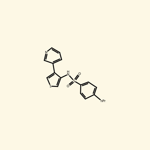 CCCc1ccc(S(=O)(=O)Nc2cscc2-c2cccnc2)cc1